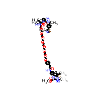 COC(=O)C[C@@H]1N=C(c2ccc(NC(=O)CCc3ccc(OCCOCCOCCOCCOCCOCCOCCOCC(=O)N[C@H](C(=O)N4CCC[C@H]4C(=O)N[C@@H](C)c4ccc(-c5scnc5C)cc4)C(C)(C)C)cc3)cc2)c2c(sc(C)c2C)-n2c(C)nnc21